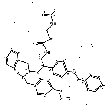 CCOc1ccc(CC(C)N(Cc2ccccc2)CC(ONC(=O)CCNC(C)=O)c2ccc(OCc3ccccc3)cc2)cc1